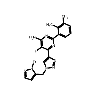 CCn1nccc1Cn1cc(-c2nc(-c3cccc(C)c3C)nc(N)c2F)nn1